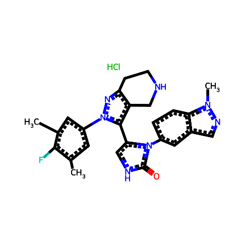 Cc1cc(-n2nc3c(c2-c2c[nH]c(=O)n2-c2ccc4c(cnn4C)c2)CNCC3)cc(C)c1F.Cl